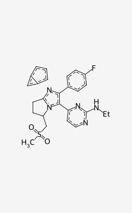 CCNc1nccc(-c2c(-c3ccc(F)cc3)nc3n2C(CS(C)(=O)=O)CC3)n1.c1cc2cc-2c1